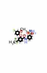 COc1cc(F)ccc1Oc1cc(C(C)(F)F)ccc1C(=O)Nc1cccc(S(N)(=O)=O)c1